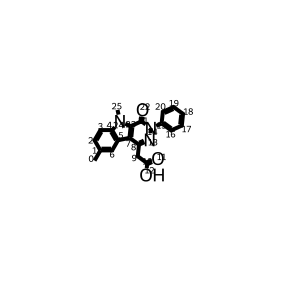 Cc1ccc2c(c1)c1c(CC(=O)O)nn(-c3ccccc3)c(=O)c1n2C